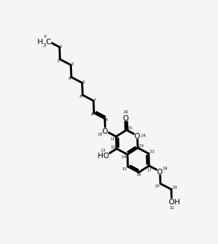 CCCCCCCCC=COc1c(O)c2ccc(OCCO)cc2oc1=O